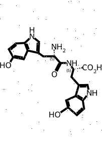 N[C@@H](Cc1c[nH]c2ccc(O)cc12)C(=O)N[C@@H](Cc1c[nH]c2ccc(O)cc12)C(=O)O